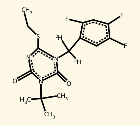 [2H]C([2H])(c1cc(F)c(F)cc1F)n1c(SCC)nc(=O)n(C(C)(C)C)c1=O